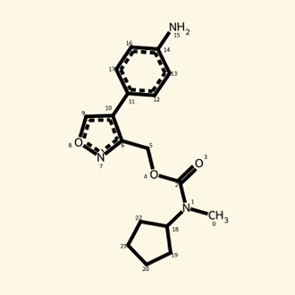 CN(C(=O)OCc1nocc1-c1ccc(N)cc1)C1CCCC1